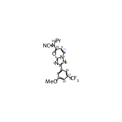 COc1cc(-c2ncn(/C=C\C(=O)N(C#N)C(C)C)n2)cc(C(F)(F)F)c1